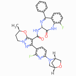 C[C@@H]1CCn2nc(-c3ccc(N4C[C@@H]5C[C@H]4CO5)nc3F)c(C(=O)N[C@H]3N=C(c4ccccc4)c4cccc(F)c4NC3=O)c2O1